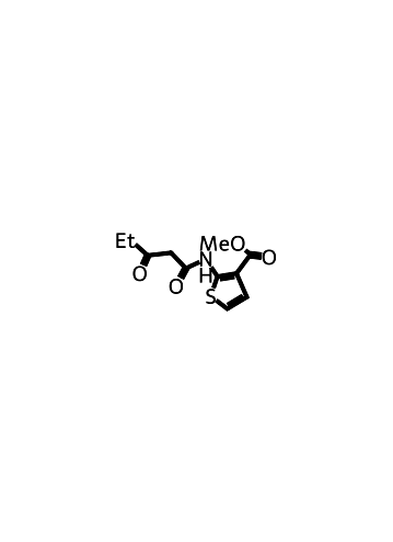 CCC(=O)CC(=O)Nc1sccc1C(=O)OC